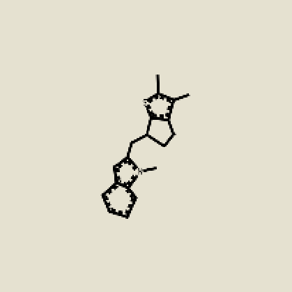 Cc1sc2c(c1C)CCC2Cc1cc2ccccc2n1C